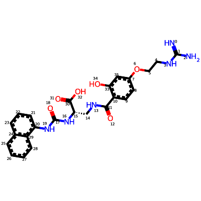 N=C(N)NCCOc1ccc(C(=O)NC[C@H](NC(=O)Nc2cccc3ccccc23)C(=O)O)c(O)c1